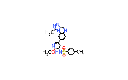 COc1ncc(-c2ccc3ncc4nnc(C)n4c3c2)cc1NS(=O)(=O)c1ccc(C)cc1